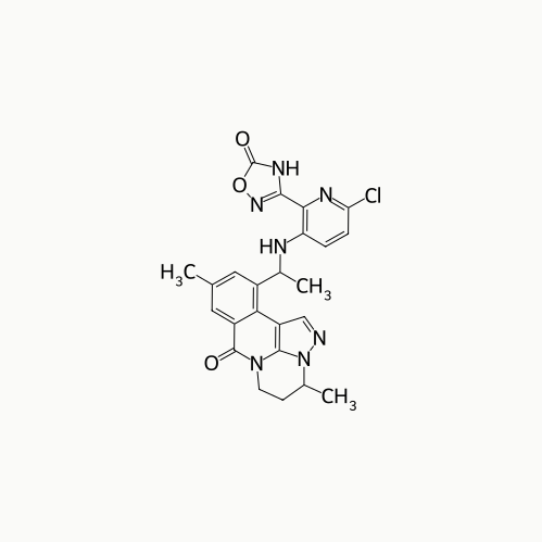 Cc1cc(C(C)Nc2ccc(Cl)nc2-c2noc(=O)[nH]2)c2c(c1)c(=O)n1c3c2cnn3C(C)CC1